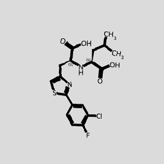 CC(C)C[C@H](N[C@@H](Cc1csc(-c2ccc(F)c(Cl)c2)n1)C(=O)O)C(=O)O